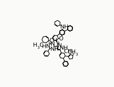 CC1=C(C2C(C)C(C3=CC4(C5=N[C@@H](C6(C)C=CCCC(C)C6)NC(C6C=CC=CC6)N5)C(C5CC=CC6c7cc(NC8C=CCCC8)c(-c8ccccc8)cc7OC65)N4N3)=CCC2c2ccccc2)CCC1